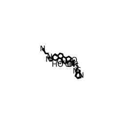 CC12Cc3cnn(CCC#N)c3C=C1CCC1C2[C@@H](O)CC2(C)C1CC[C@]2(O)C(=O)CSc1nc2cccnc2s1